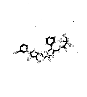 CC(=O)c1ccc[n+]([C@@H]2O[C@H](COP(=O)(NCc3ccccc3)OCCSC(=O)C(C)(C)CO)C(O)[C@@H]2O)c1